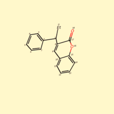 CCC(c1ccccc1)c1cc2ccccc2oc1=O